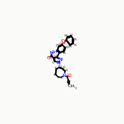 CC#CC(=O)N1CCCC[C@H](n2cc(C(N)=O)c(-c3ccc(Oc4ccccc4)cc3)n2)CC1